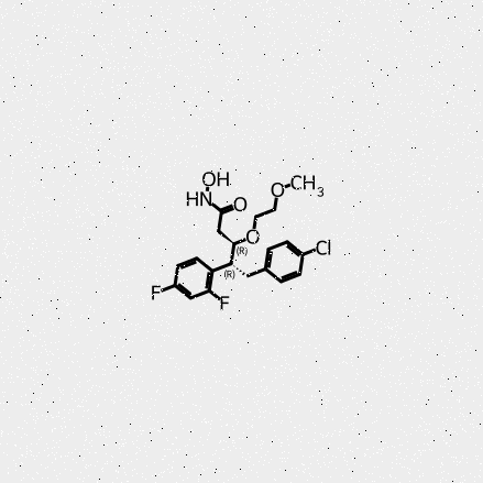 COCCO[C@H](CC(=O)NO)[C@H](Cc1ccc(Cl)cc1)c1ccc(F)cc1F